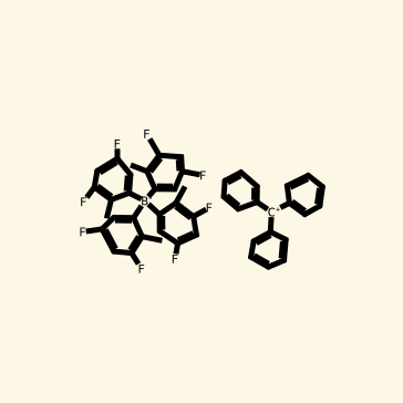 Cc1c(F)cc(F)cc1[B-](c1cc(F)cc(F)c1C)(c1cc(F)cc(F)c1C)c1cc(F)cc(F)c1C.c1ccc([C+](c2ccccc2)c2ccccc2)cc1